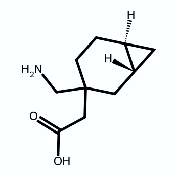 NCC1(CC(=O)O)CC[C@H]2C[C@@H]2C1